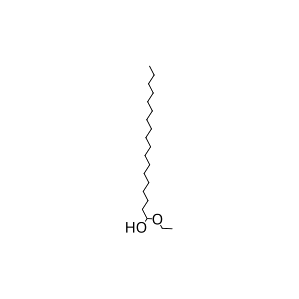 CCCCCCCCCCCCCCCCCC(O)OCC